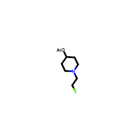 CC(=O)OC1CCN(CCF)CC1